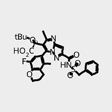 Cc1nc2cc(C(=O)NS(=O)(=O)Cc3ccccc3)nn2c(-c2cc(F)c3c(c2C)CCCO3)c1[C@H](OC(C)(C)C)C(=O)O